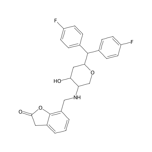 O=C1Cc2cccc(CNC3COC(C(c4ccc(F)cc4)c4ccc(F)cc4)CC3O)c2O1